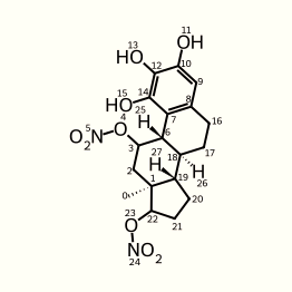 C[C@]12CC(O[N+](=O)[O-])[C@@H]3c4c(cc(O)c(O)c4O)CC[C@H]3[C@@H]1CCC2O[N+](=O)[O-]